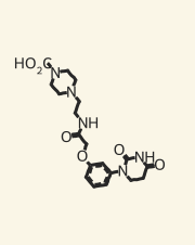 O=C(COc1cccc(N2CCC(=O)NC2=O)c1)NCCN1CCN(C(=O)O)CC1